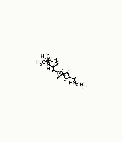 CNCC1CC2(C1)CN(CC(=O)NC(C)(C)C)C2